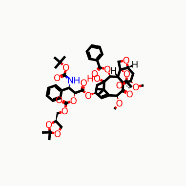 CO[C@H]1C(=O)[C@]2(C)[C@@H](OC)C[C@H]3OC[C@@]3(OC(C)=O)[C@H]2[C@H](OC(=O)c2ccccc2)C2(O)C[C@H](OC(=O)[C@H](OC(=O)OC[C@H]3COC(C)(C)O3)[C@@H](NC(=O)OC(C)(C)C)c3ccccc3)C=C1C2(C)C